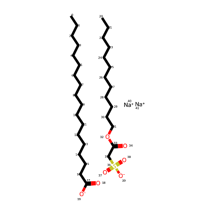 CCCCCCCCCCCCCCCCCC(=O)[O-].CCCCCCCCCCCCOC(=O)CS(=O)(=O)[O-].[Na+].[Na+]